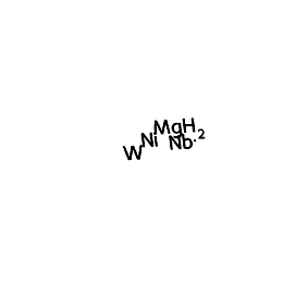 [MgH2].[Nb].[Ni].[W]